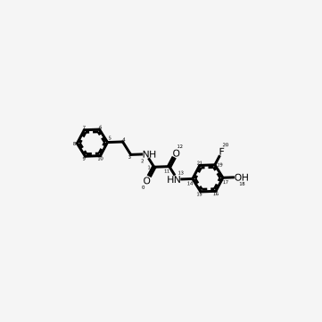 O=C(NCCc1ccccc1)C(=O)Nc1ccc(O)c(F)c1